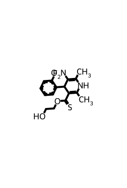 CC1=C(C(=S)OCCO)C(c2ccccc2F)C([N+](=O)[O-])=C(C)N1